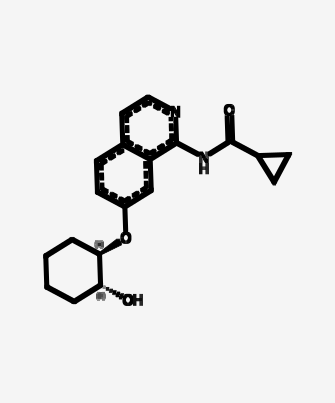 O=C(Nc1nccc2ccc(O[C@@H]3CCCC[C@H]3O)cc12)C1CC1